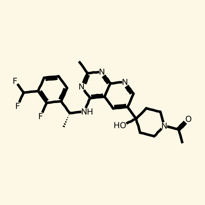 CC(=O)N1CCC(O)(c2cnc3nc(C)nc(N[C@H](C)c4cccc(C(F)F)c4F)c3c2)CC1